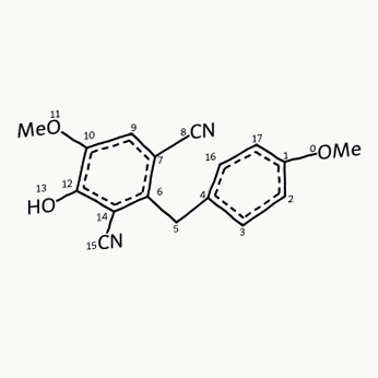 COc1ccc(Cc2c(C#N)cc(OC)c(O)c2C#N)cc1